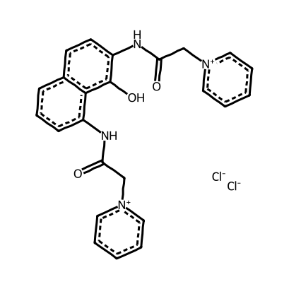 O=C(C[n+]1ccccc1)Nc1ccc2cccc(NC(=O)C[n+]3ccccc3)c2c1O.[Cl-].[Cl-]